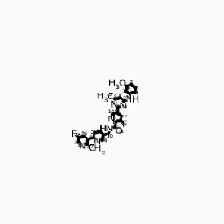 Cc1cccc(Nc2cc(C)nc(-c3cnc(C(=O)NCc4ccc(-c5cc(F)cnc5C)nc4)c(F)c3)n2)c1